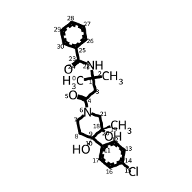 CC(C)(CC(=O)N1CC[C@](O)(c2ccc(Cl)cc2)[C@@](C)(O)C1)NC(=O)c1ccccc1